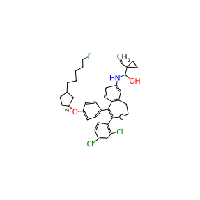 C=CC1(C(O)Nc2ccc3c(c2)CCCC(c2ccc(Cl)cc2Cl)=C3c2ccc(O[C@H]3CCC(CCCCCF)C3)cc2)CC1